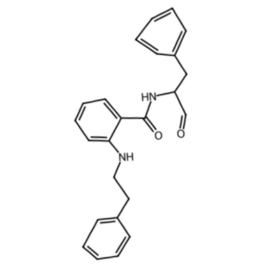 O=CC(Cc1ccccc1)NC(=O)c1ccccc1NCCc1ccccc1